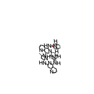 Cc1cc(Nc2cc3ncccc3c(N[C@@H]3C[C@H]4CC[C@@H](C3)N4C)n2)nn1-c1cnc(N[C@@H]2C[C@H]3CC[C@@H](C2)N3C)c2cccnc12